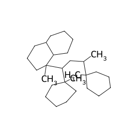 CC(CC(C1(C)CCCCC1)C1(C)CCCC2CCCCC21)C1(C)CCCCC1